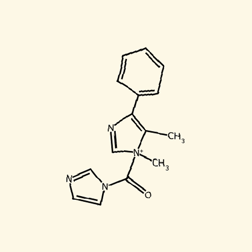 CC1=C(c2ccccc2)N=C[N+]1(C)C(=O)n1ccnc1